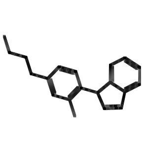 CCCCc1ccc(C2C=Cc3ccccc32)c(C)c1